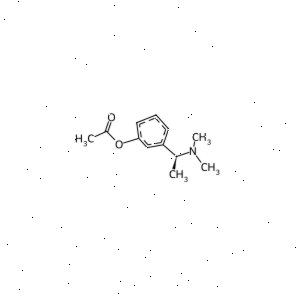 CC(=O)Oc1cccc([C@H](C)N(C)C)c1